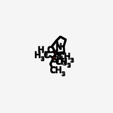 CCC(C)(C)C1CC2CCC(C1)N2C(C)(C)C